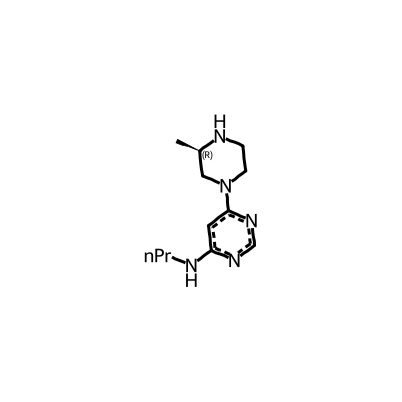 CCCNc1cc(N2CCN[C@H](C)C2)ncn1